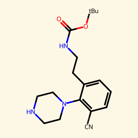 CC(C)(C)OC(=O)NCCc1cccc(C#N)c1N1CCNCC1